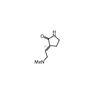 CNC/C=C1\CCNC1=O